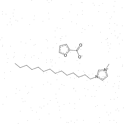 CCCCCCCCCCCCCCn1cc[n+](C)c1.O=C([O-])c1ccco1